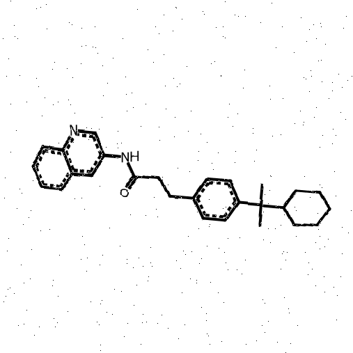 CC(C)(c1ccc(CCC(=O)Nc2cnc3ccccc3c2)cc1)C1CCCCC1